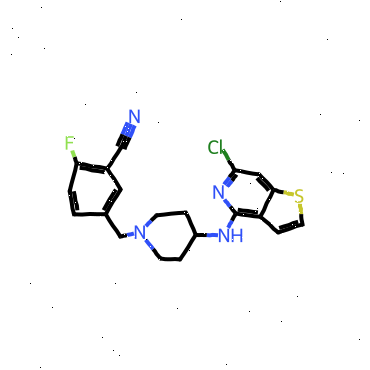 N#Cc1cc(CN2CCC(Nc3nc(Cl)cc4sccc34)CC2)ccc1F